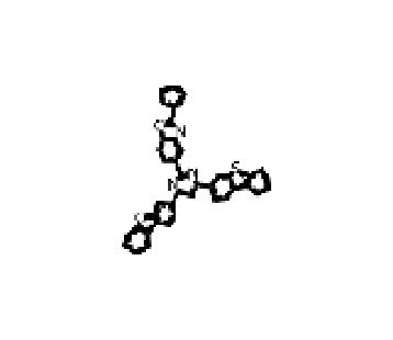 c1ccc(-c2nc3cc(-c4nc(-c5ccc6c(c5)oc5ccccc56)cc(-c5ccc6c(c5)sc5ccccc56)n4)ccc3o2)cc1